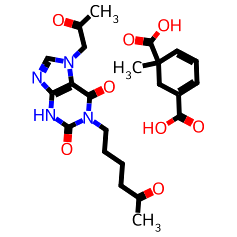 CC(=O)CCCCn1c(=O)[nH]c2ncn(CC(C)=O)c2c1=O.CC1(C(=O)O)C=CC=C(C(=O)O)C1